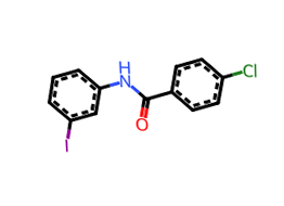 O=C(Nc1cccc(I)c1)c1ccc(Cl)cc1